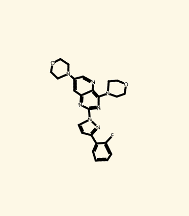 Fc1ccccc1-c1ccn(-c2nc(N3CCOCC3)c3ncc(N4CCOCC4)cc3n2)n1